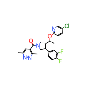 Cc1cc(C(=O)N2C[C@H]([C@H](C)Oc3ccc(Cl)cn3)[C@@H](c3ccc(F)c(F)c3)C2)c(C)nn1